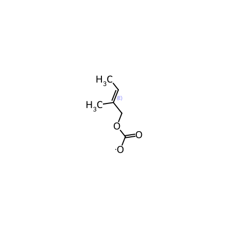 C/C=C(\C)COC([O])=O